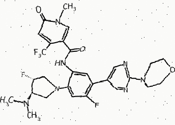 CN(C)[C@@H]1CN(c2cc(F)c(-c3cnc(N4CCOCC4)nc3)cc2NC(=O)c2cn(C)c(=O)cc2C(F)(F)F)C[C@H]1F